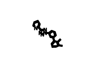 Cc1cccc(-c2cccc(-n3nnc(-c4ccccn4)n3)c2)c1C